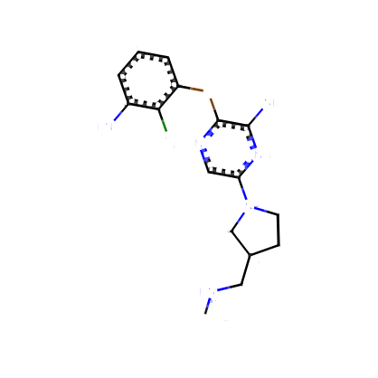 Nc1cccc(Sc2ncc(N3CCC(CNC(=O)O)C3)nc2N)c1Cl